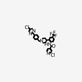 O=C(Nc1ccc(C(F)(F)F)cc1C1CCN(Cc2ccc(-c3ncc(Cl)cn3)cc2)CC1)c1ccnc(Cl)c1